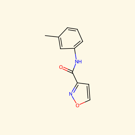 Cc1cccc(NC(=O)c2ccon2)c1